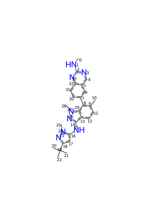 CNc1ncc2cc(-c3c(C)ccc4c(Nc5cc(C(C)(C)C)nn5C)nn(C)c34)ccc2n1